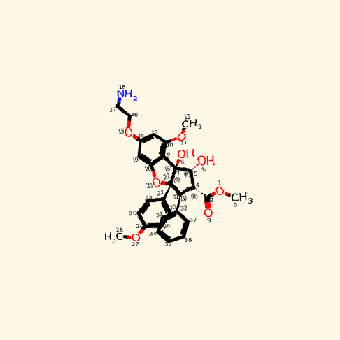 COC(=O)[C@H]1[C@@H](O)[C@@]2(O)c3c(OC)cc(OCCN)cc3O[C@@]2(c2ccc(OC)cc2)[C@@H]1c1ccccc1